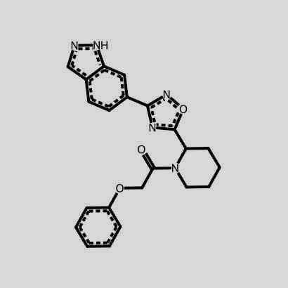 O=C(COc1ccccc1)N1CCCCC1c1nc(-c2ccc3cn[nH]c3c2)no1